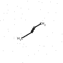 C=CCCCCCCCCOc1ccc(N2CCN(CCCCCCCCCCCCCCC)CC2)cc1